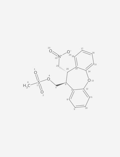 CS(=O)(=O)OC[C@@H]1c2ccccc2Oc2ccccc2[C@H]1C[N+](=O)[O-]